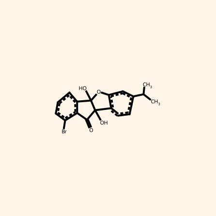 CC(C)c1ccc2c(c1)OC1(O)c3cccc(Br)c3C(=O)C21O